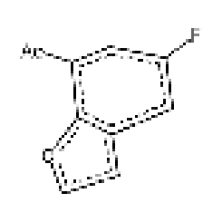 CC(=O)c1cc(F)cc2ccoc12